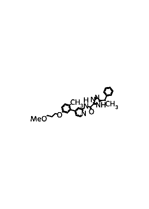 COCCCOc1ccc(C)c(-c2ccnc(NC(=O)c3nnc(C(C)c4ccccc4)[nH]3)c2)c1